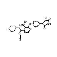 O=COC(CC1CCNCC1)c1ncnc(Oc2ccc(C3NC(=O)NC3=O)cc2)c1[N+](=O)[O-]